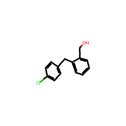 OCc1ccccc1Cc1ccc(Cl)cc1